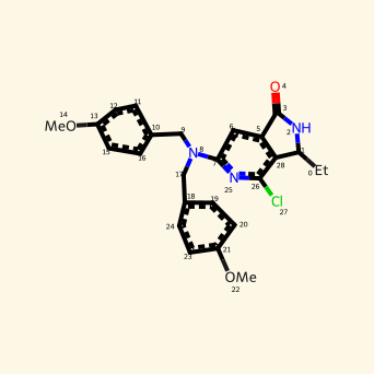 CCC1NC(=O)c2cc(N(Cc3ccc(OC)cc3)Cc3ccc(OC)cc3)nc(Cl)c21